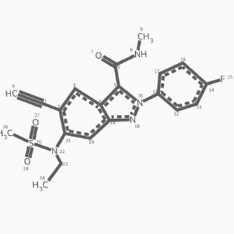 C#Cc1cc2c(C(=O)NC)n(-c3ccc(F)cc3)nc2cc1N(CC)S(C)(=O)=O